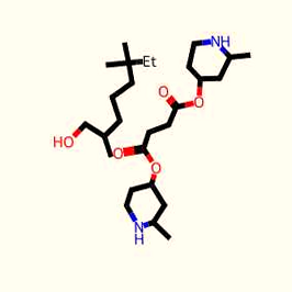 CC1CC(OC(=O)CCC(=O)OC2CCNC(C)C2)CCN1.CCC(C)(C)CCCC(C)CO